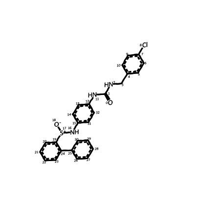 O=C(NCc1ccc(Cl)cc1)Nc1ccc(N[S+]([O-])c2ccccc2-c2ccccc2)cc1